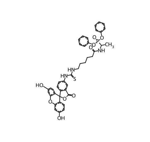 CC(NC(=O)CCCCCNC(=S)Nc1ccc2c(c1)C(=O)OC21c2ccc(O)cc2Oc2cc(O)ccc21)P(=O)(Oc1ccccc1)Oc1ccccc1